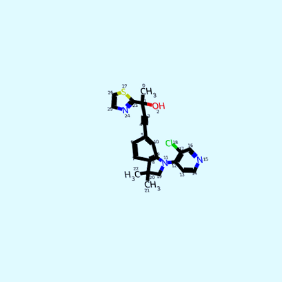 CC(O)(C#Cc1ccc2c(c1)N(c1ccncc1Cl)CC2(C)C)c1nccs1